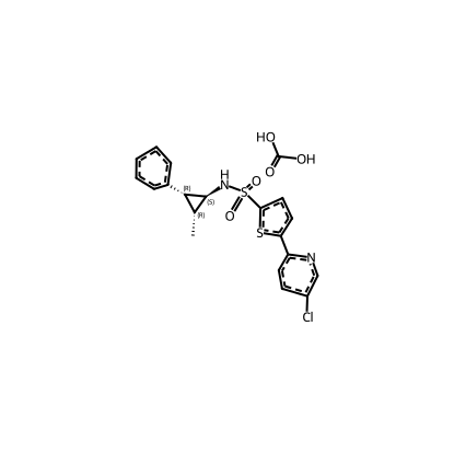 C[C@H]1[C@H](NS(=O)(=O)c2ccc(-c3ccc(Cl)cn3)s2)[C@H]1c1ccccc1.O=C(O)O